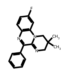 CC1(C)CN=C2C(c3ccccc3)=Nc3ccc(F)cc3N2C1